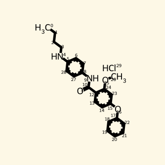 CCCCNc1ccc(NC(=O)c2ccc(Oc3ccccc3)cc2OC)cc1.Cl